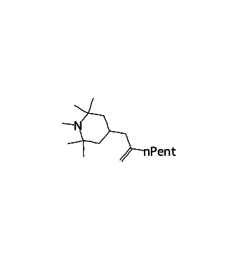 C=C(CCCCC)CC1CC(C)(C)N(C)C(C)(C)C1